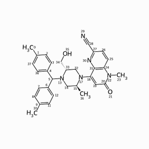 Cc1ccc(C(c2ccc(C)cc2)N2C[C@H](C)N(c3cc(=O)n(C)c4ccc(C#N)nc34)C[C@H]2CO)cc1